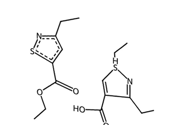 CCC1=N[SH](CC)C=C1C(=O)O.CCOC(=O)c1cc(CC)ns1